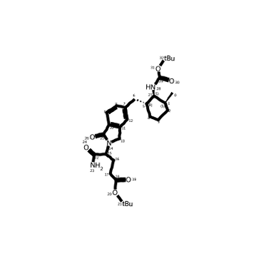 C[C@H]1CCC[C@H](Cc2ccc3c(c2)CN(C(CCC(=O)OC(C)(C)C)C(N)=O)C3=O)[C@H]1NC(=O)OC(C)(C)C